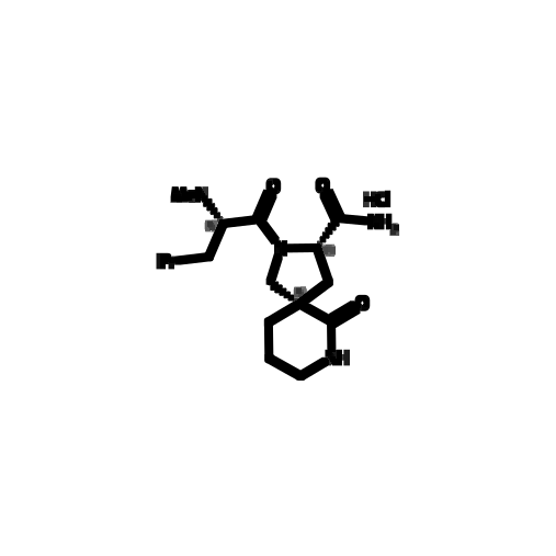 CN[C@@H](CC(C)C)C(=O)N1C[C@]2(CCCNC2=O)C[C@H]1C(N)=O.Cl